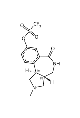 CN1C[C@H]2CNC(=O)c3cc(OS(=O)(=O)C(F)(F)F)ccc3[C@@H]2C1